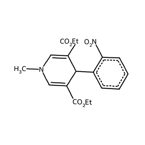 CCOC(=O)C1=CN(C)C=C(C(=O)OCC)C1c1ccccc1[N+](=O)[O-]